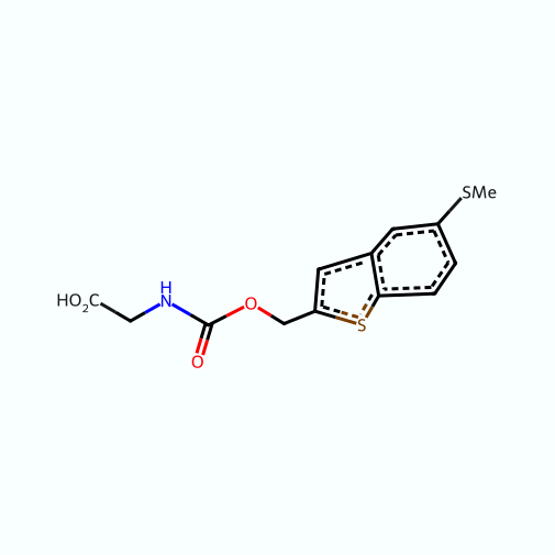 CSc1ccc2sc(COC(=O)NCC(=O)O)cc2c1